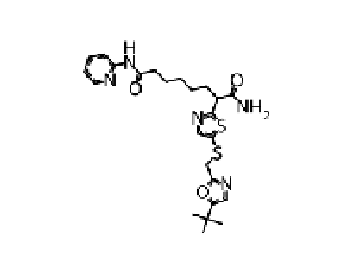 CC(C)(C)c1cnc(CSc2cnc(C(CCCCCC(=O)Nc3ccccn3)C(N)=O)s2)o1